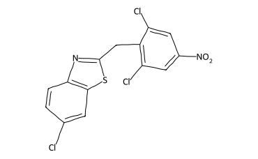 O=[N+]([O-])c1cc(Cl)c(Cc2nc3ccc(Cl)cc3s2)c(Cl)c1